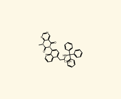 Cn1c(=O)n(-c2ccc(CC(NC(c3ccccc3)(c3ccccc3)c3ccccc3)C(=O)O)c3cccnc23)c(=O)c2cncnc21